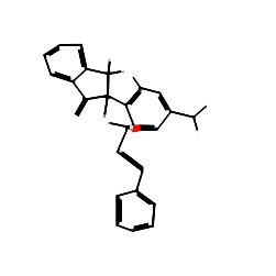 CC(C)c1ccc2c(c1)OC1(O)c3ccccc3C(=O)C21OC(=O)/C=C/c1ccccc1